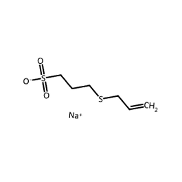 C=CCSCCCS(=O)(=O)[O-].[Na+]